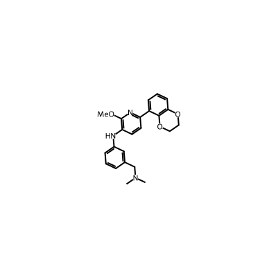 COc1nc(-c2cccc3c2OCCO3)ccc1Nc1cccc(CN(C)C)c1